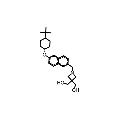 CC(C)(C)[C@H]1CC[C@H](Oc2ccc3cc(CN4CC(CO)(CO)C4)ccc3c2)CC1